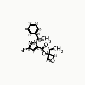 C=CC1(OC(=O)c2cc(F)nn2[C@H](C)c2ccccc2)COC1